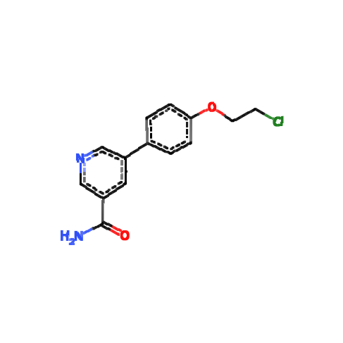 NC(=O)c1cncc(-c2ccc(OCCCl)cc2)c1